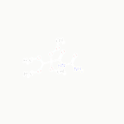 COOC(OC)(C(=O)NC(N)=O)C(OC)OC